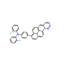 Fc1ccccc1N(c1ccc(C2=C3C=CC4=C5C(=CC=C(C=C2)C35)C2N=CC=CC2=C4)cc1)c1ccccc1F